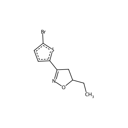 CCC1CC(c2ccc(Br)s2)=NO1